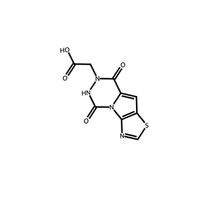 O=C(O)Cn1[nH]c(=O)n2c(cc3scnc32)c1=O